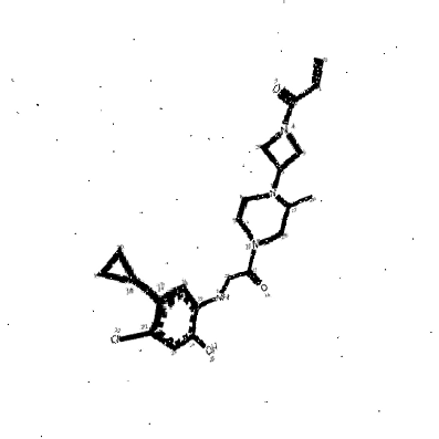 C=CC(=O)N1CC(N2CCN(C(=O)CNc3cc(C4CC4)c(Cl)cc3O)CC2C)C1